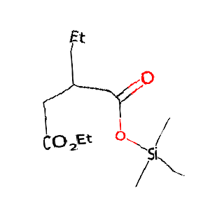 CCOC(=O)CC(CC)C(=O)O[Si](C)(C)C